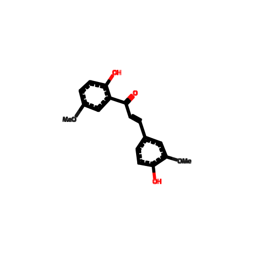 COc1ccc(O)c(C(=O)C=Cc2ccc(O)c(OC)c2)c1